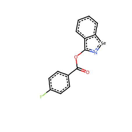 O=C(Oc1n[se]c2ccccc12)c1ccc(F)cc1